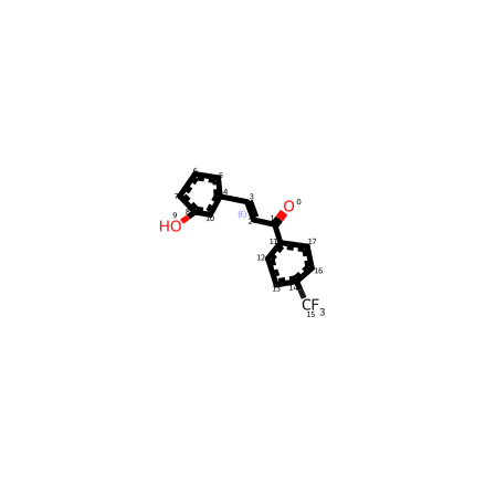 O=C(/C=C/c1cccc(O)c1)c1ccc(C(F)(F)F)cc1